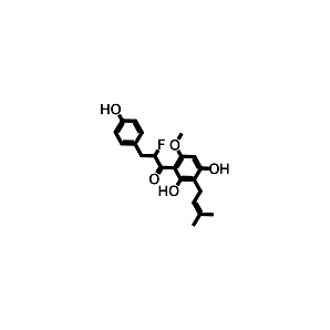 COc1cc(O)c(CC=C(C)C)c(O)c1C(=O)C(F)Cc1ccc(O)cc1